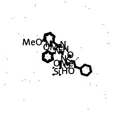 COc1cccc(-c2nnc(N(CC[Si](C)(C)C)S(=O)(=O)[C@H](C)[C@@H](O)C3CCCCC3)n2-c2c(OC)cccc2OC)n1